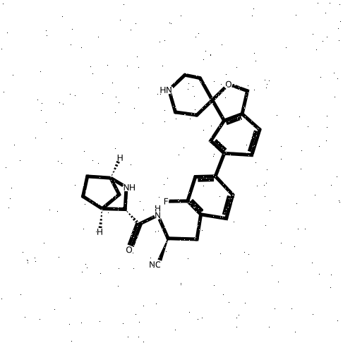 N#C[C@H](Cc1ccc(-c2ccc3c(c2)C2(CCNCC2)OC3)cc1F)NC(=O)[C@H]1N[C@@H]2CC[C@H]1C2